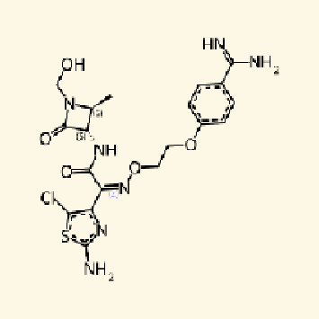 C[C@H]1[C@H](NC(=O)/C(=N\OCCOc2ccc(C(=N)N)cc2)c2nc(N)sc2Cl)C(=O)N1CO